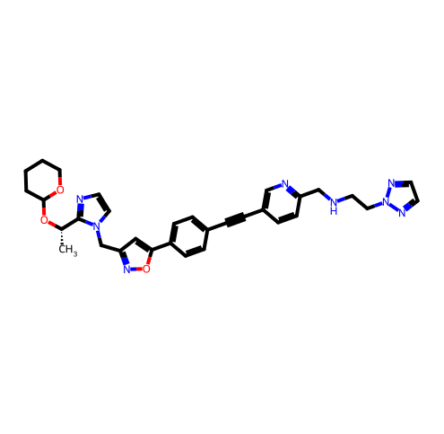 C[C@H](OC1CCCCO1)c1nccn1Cc1cc(-c2ccc(C#Cc3ccc(CNCCn4nccn4)nc3)cc2)on1